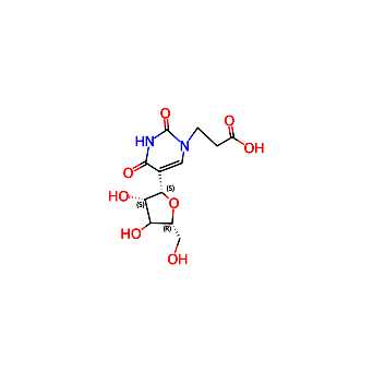 O=C(O)CCn1cc([C@@H]2O[C@H](CO)C(O)[C@@H]2O)c(=O)[nH]c1=O